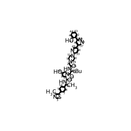 Cc1ncsc1-c1ccc([C@H](C)NC(=O)[C@@H]2C[C@@H](O)CN2C(=O)C(NC(=O)CN2CCN(c3ccc(-c4cnnc(-c5ccccc5O)c4)cn3)CC2)C(C)(C)C)cc1